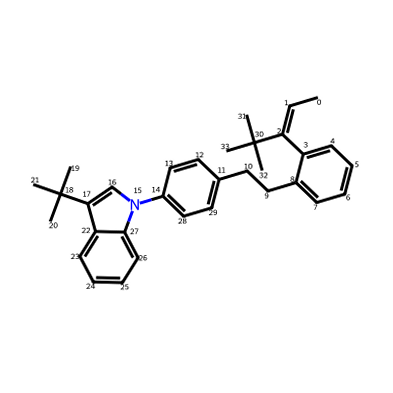 C/C=C(\c1ccccc1CCc1ccc(-n2cc(C(C)(C)C)c3ccccc32)cc1)C(C)(C)C